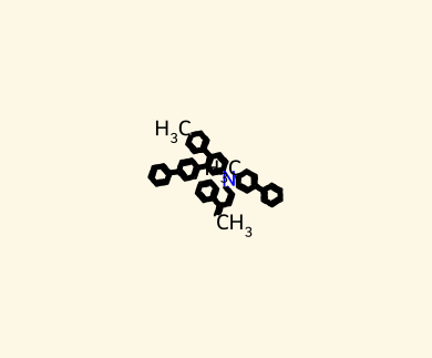 C/C=C(\C=C/CN(c1ccc(C2=CCC(C)C=C2)c(-c2ccc(-c3ccccc3)cc2)c1)C1(C)C=CC(c2ccccc2)=CC1)c1ccccc1